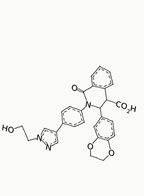 O=C(O)C1c2ccccc2C(=O)N(c2ccc(-c3cnn(CCO)c3)cc2)C1c1ccc2c(c1)OCCO2